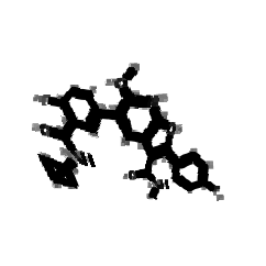 CNC(=O)c1c(-c2ccc(F)cc2)oc2nc(OC)c(-c3ccc(F)c(C(=O)NC45CC4C5)c3)cc12